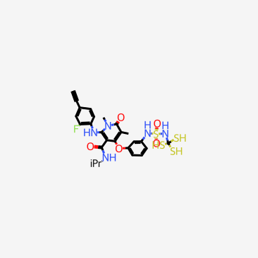 C#Cc1ccc(Nc2c(C(=O)NC(C)C)c(Oc3cccc(NS(=O)(=O)NC(S)(S)S)c3)c(C)c(=O)n2C)c(F)c1